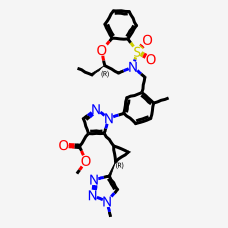 CC[C@@H]1CN(Cc2cc(-n3ncc(C(=O)OC)c3C3C[C@H]3c3cn(C)nn3)ccc2C)S(=O)(=O)c2ccccc2O1